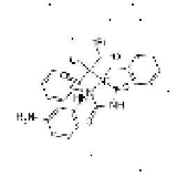 CC(C)(C)C(=O)C(Cl)(C(=O)Nc1cccc(N)c1)[N+]1(Cc2ccccc2)C(=O)NC(=O)N1c1ccccc1